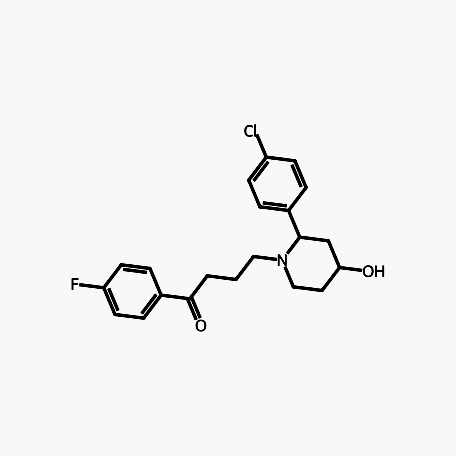 O=C(CCCN1CCC(O)CC1c1ccc(Cl)cc1)c1ccc(F)cc1